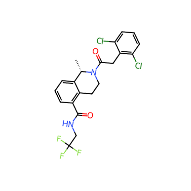 C[C@H]1c2cccc(C(=O)NCC(F)(F)F)c2CCN1C(=O)Cc1c(Cl)cccc1Cl